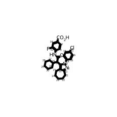 O=C(O)c1ccc(NC(=O)C(c2c3c(nn2-c2ccc(Cl)cc2)CCCCC3)C2CCCCC2)c(F)c1